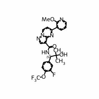 COc1ncccc1-c1ccn2ncc(C(=O)N[C@@H](c3ccc(OC(F)(F)F)c(F)c3)C(C)(C)O)c2n1